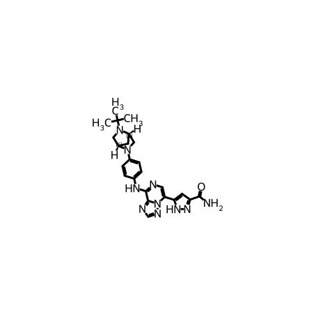 CC(C)(C)N1C[C@@H]2C[C@H]1CN2c1ccc(Nc2ncc(-c3cc(C(N)=O)n[nH]3)n3ncnc23)cc1